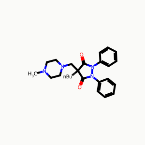 CCCCC1(CN2CCN(C)CC2)C(=O)N(c2ccccc2)N(c2ccccc2)C1=O